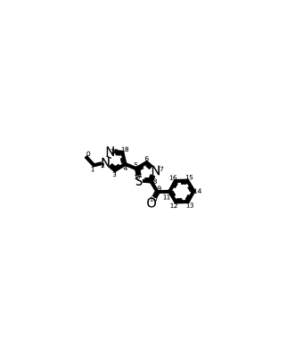 CCn1cc(-c2cnc(C(=O)c3ccccc3)s2)cn1